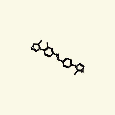 Cc1cc(/N=C/c2ccc(-n3ccnc3C)cc2)ccc1N1C=NCC1C